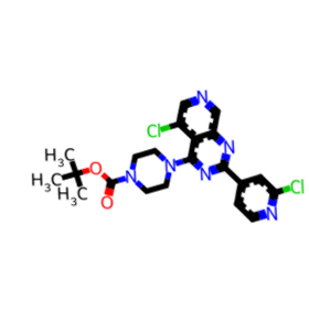 CC(C)(C)OC(=O)N1CCN(c2nc(-c3ccnc(Cl)c3)nc3cncc(Cl)c23)CC1